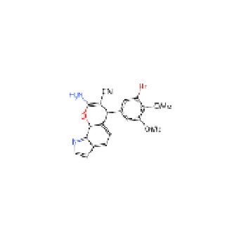 COc1cc(C2C3=CC=C4C=CN=C4C3OC(N)=C2C#N)cc(Br)c1OC